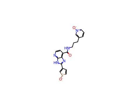 O=C(NCCCc1ccc[n+]([O-])c1)c1ccnc2[nH]c(-c3cc[s+]([O-])c3)nc12